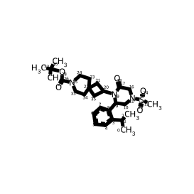 CC(C)c1ccccc1C1CN(S(C)(=O)=O)CC(=O)N1C1CC2(CCN(C(=O)OC(C)(C)C)CC2)C1